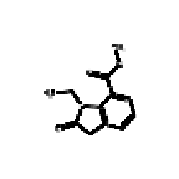 CCN1C(=O)Cc2cccc(C(=O)OC)c21